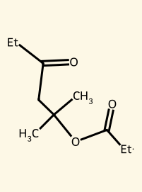 C[CH]C(=O)OC(C)(C)CC(=O)CC